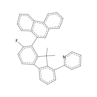 CC1(C)c2c(-c3ccccn3)cccc2-c2ccc(F)c(-c3cc4ccccc4c4ccccc34)c21